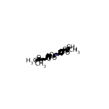 C=C(C)C(=O)OC1=CCC(/C=C/C(=O)Oc2ccc(CCOC(=O)C(C)C)cc2)C=C1